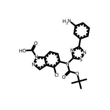 CC(C)(C)OC(=O)N(c1nc(-c2cccc(N)c2)ns1)c1ccc2c(cnn2C(=O)O)c1Cl